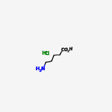 Cl.NCCCCC(=O)O